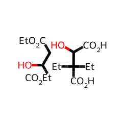 CCC(CC)(C(=O)O)C(O)C(=O)O.CCOC(=O)CC(O)C(=O)OCC